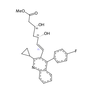 COC(=O)C[C@H](O)C[C@H](O)/C=C/c1c(C2CC2)nc2ccccc2c1-c1ccc(F)cc1